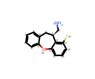 NC[C@@H]1Cc2ccccc2Oc2cccc(F)c21